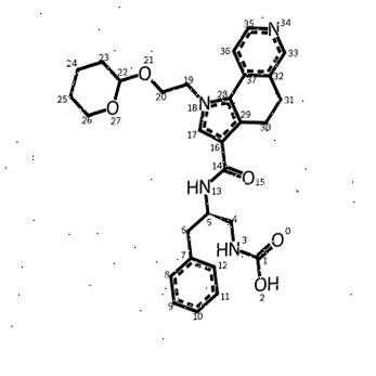 O=C(O)NC[C@@H](Cc1ccccc1)NC(=O)c1cn(CCOC2CCCCO2)c2c1CCc1cnccc1-2